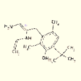 C=CN/C(=C\N)Cc1c(C)cc(C(C)(C)C)c(O)c1C